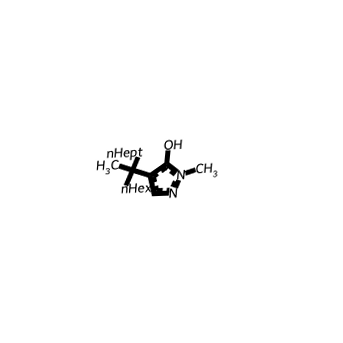 CCCCCCCC(C)(CCCCCC)c1cnn(C)c1O